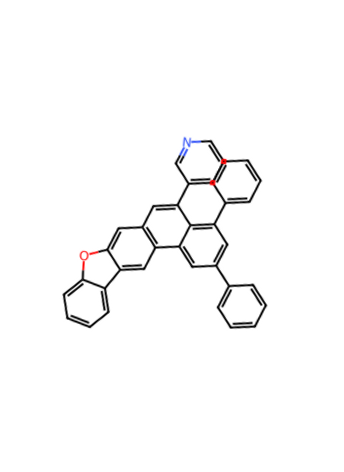 c1ccc(-c2cc(-c3ccccc3)c3c(-c4cccnc4)cc4cc5oc6ccccc6c5cc4c3c2)cc1